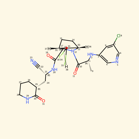 C[C@@H](Nc1cncc(Cl)c1)C(=O)N1[C@H]2CC[C@@H]([C@@H]1C(=O)N[C@@H](C#N)C[C@H]1CCCNC1=O)C(F)(F)C2